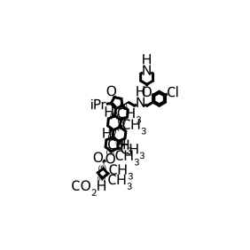 CC(C)C1=C2[C@H]3CC[C@@H]4[C@@]5(C)CC[C@H](OC(=O)[C@H]6C[C@@H](C(=O)O)C6(C)C)C(C)(C)[C@@H]5CC[C@@]4(C)[C@]3(C)CC[C@@]2(CCNCc2ccc(Cl)cc2OC2CCNCC2)CC1=O